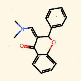 CN(C)C=C1C(=O)c2ccccc2OC1c1ccccc1